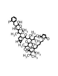 CC[C@H](C)C(C(CC(=O)N1C2C[C@@H]2C[C@H]1C(OC)[C@@H](C)C(=O)N[C@@H](Cc1ccccc1F)C(=O)O)OC)N(C)C(=O)C(NC(=O)[C@H](C(C)C)N(C)C(=O)CCCCCN1C(=O)C=CC1=O)C(C)C